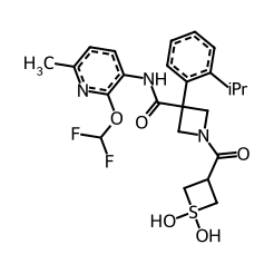 Cc1ccc(NC(=O)C2(c3ccccc3C(C)C)CN(C(=O)C3CS(O)(O)C3)C2)c(OC(F)F)n1